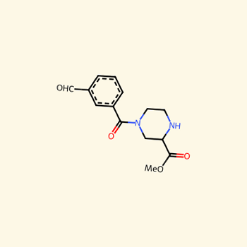 COC(=O)C1CN(C(=O)c2cccc(C=O)c2)CCN1